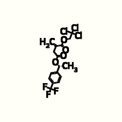 C=C(CC(=O)O[C@H](C)c1ccc(C(F)(F)F)cc1)C(=O)OCC(Cl)(Cl)Cl